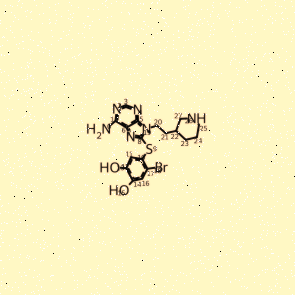 Nc1ncnc2c1nc(Sc1cc(O)c(O)cc1Br)n2CCC1CCCNC1